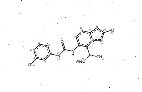 COC(C)c1c(NC(=O)Nc2ccnc(Cl)c2)cnc2cc(Cl)nn12